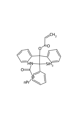 C=CC(=O)OC(c1ccccc1)(c1ccccc1)C([SiH3])(NC(=O)OCCC)c1ccccc1